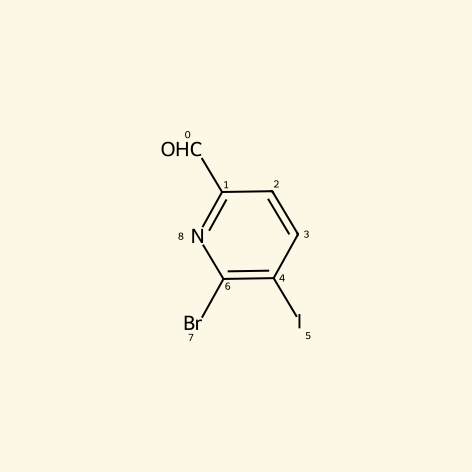 O=Cc1ccc(I)c(Br)n1